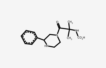 CC(C)(NC(=O)O)C(=O)N1CCNC(c2ccccc2)C1